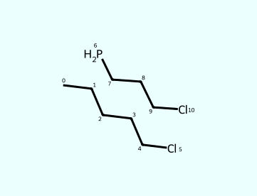 CCCCCCl.PCCCCl